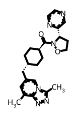 Cc1cc(C[C@H]2CC[C@H](C(=O)N3OCC[C@H]3c3cnccn3)CC2)cn2c(C)nnc12